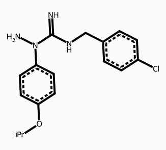 CC(C)Oc1ccc(N(N)C(=N)NCc2ccc(Cl)cc2)cc1